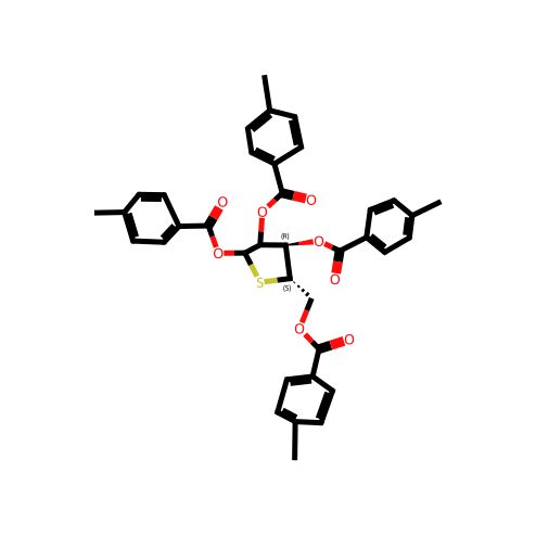 Cc1ccc(C(=O)OC[C@@H]2SC(OC(=O)c3ccc(C)cc3)C(OC(=O)c3ccc(C)cc3)[C@H]2OC(=O)c2ccc(C)cc2)cc1